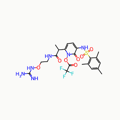 Cc1cc(C)c(S(=O)(=O)Nc2ccc(C(C)C(=O)NCCONC(=N)N)n(OC(=O)C(F)(F)F)c2=O)c(C)c1